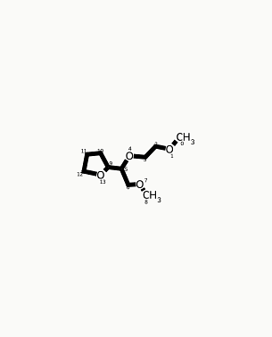 COCCOC(COC)C1CCCO1